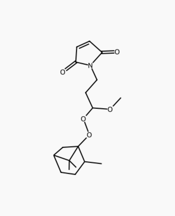 COC(CCN1C(=O)C=CC1=O)OOC12CC(CCC1C)C2(C)C